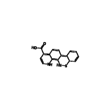 O=C(O)C1=c2ccc3c(c2NC=C1)NSC1C=CC=CC=31